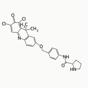 CC1(C)C2=C(Cl)C(=O)C(Cl)=CC2=Nc2ccc(OCc3ccc(NC(=O)C4CCCN4)cc3)cc21